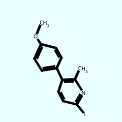 COc1ccc(-c2ccc(I)nc2C)cc1